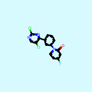 O=c1cc(F)ccn1-c1cccc(-c2nc(Cl)ncc2Cl)c1